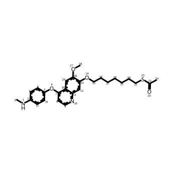 CNc1ccc(Oc2ccnc3cc(OCCCCCCCSC(C)=O)c(OC)cc23)cc1